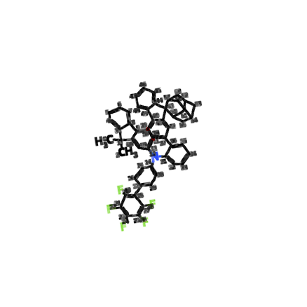 CC1(C)c2ccccc2-c2ccc(N(c3ccc(-c4c(F)c(F)c(F)c(F)c4F)cc3)c3ccccc3-c3ccc4c(c3)C3(c5ccccc5-4)C4CC5CC(C4)CC3C5)cc21